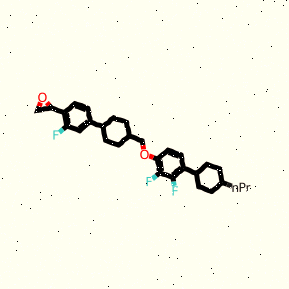 CCCC1CCC(c2ccc(OCC3CCC(c4ccc(C5CO5)c(F)c4)CC3)c(F)c2F)CC1